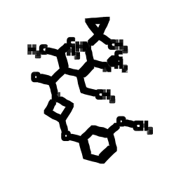 C=N/C(NC1(C)CC1)=C(\CC)C(C(=O)N1CC(Oc2cccc(OC)c2)C1)=C(C)C